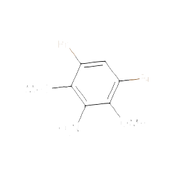 COc1c(Br)cc(Br)c(OC)c1[N+](=O)[O-]